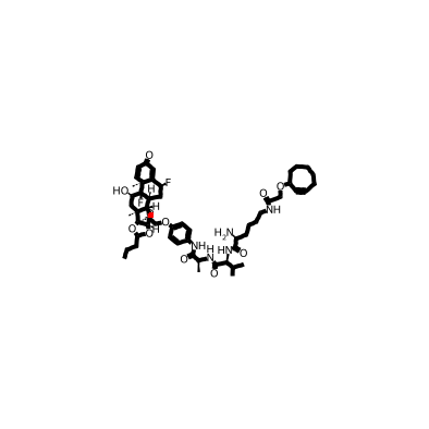 CCCC1O[C@@H]2C[C@H]3[C@@H]4C[C@H](F)C5=CC(=O)C=C[C@]5(C)[C@@]4(F)[C@@H](O)C[C@]3(C)[C@]2(C(=O)COc2ccc(NC(=O)[C@H](C)NC(=O)[C@@H](NC(=O)[C@H](N)CCCCNC(=O)COC3C#CCCCCC3)C(C)C)cc2)O1